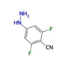 N#Cc1c(F)cc(NN)cc1F